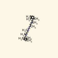 C\C(=C/C=C/C=C(\C)CC/C=C(\C)CCc1c(C)ccc(C)c1C)CC/C=C(\C)CCc1c(C)ccc(C)c1C